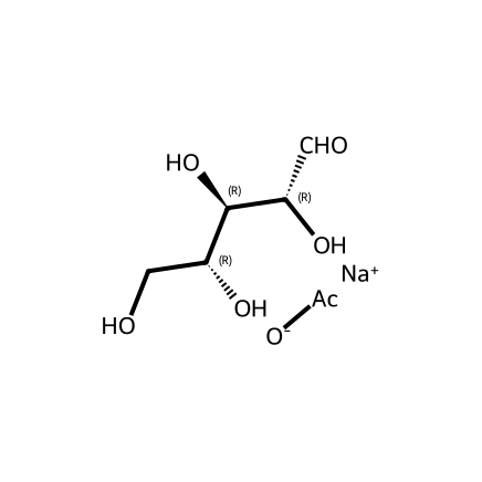 CC(=O)[O-].O=C[C@H](O)[C@H](O)[C@H](O)CO.[Na+]